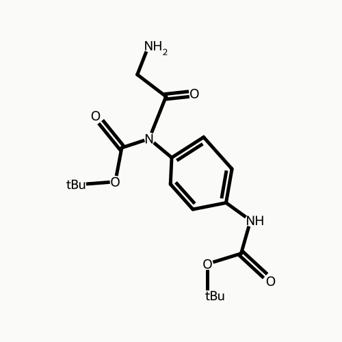 CC(C)(C)OC(=O)Nc1ccc(N(C(=O)CN)C(=O)OC(C)(C)C)cc1